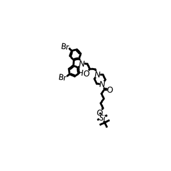 CC(C)(C)[Si](C)(C)OCCCCC(=O)N1CCN(CC(O)Cn2c3ccc(Br)cc3c3cc(Br)ccc32)CC1